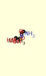 CSc1sc(C(=O)N2CCC3(CC2)COc2ccc(CN)cc23)cc1-c1cccc(B(O)O)c1C